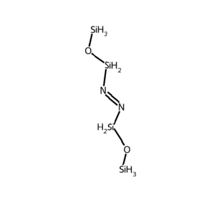 [SiH3]O[SiH2]N=N[SiH2]O[SiH3]